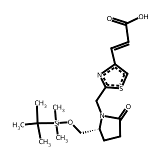 CC(C)(C)[Si](C)(C)OC[C@H]1CCC(=O)N1Cc1nc(/C=C/C(=O)O)cs1